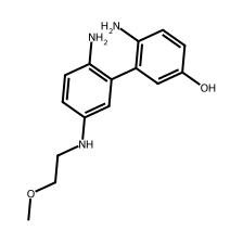 COCCNc1ccc(N)c(-c2cc(O)ccc2N)c1